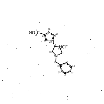 Cl.O=C(O)c1cn(C2CCN(Cc3ccccc3)C2)nn1